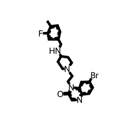 Cc1ccc(CNC2CCN(CCn3c(=O)cnc4ccc(Br)cc43)CC2)cc1F